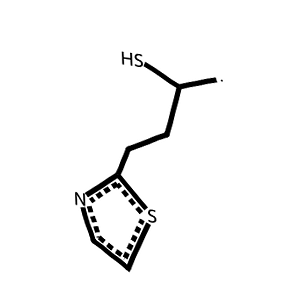 [CH2]C(S)CCc1nccs1